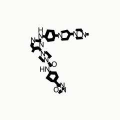 Cc1cnc(Nc2ccc(N3CCC(N4CCN(C)CC4)CC3)cc2)nc1N1CCN(C(=O)Nc2ccc(-c3nnco3)cc2)CC1